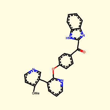 COc1ccncc1-c1cccnc1Oc1ccc(C(=O)c2nc3ccccc3[nH]2)cc1